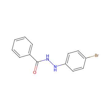 O=C(NNc1ccc(Br)cc1)c1ccccc1